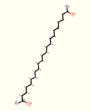 CCC(O)CCCCCCCCCCCCCCCCCCCCCC(O)CC